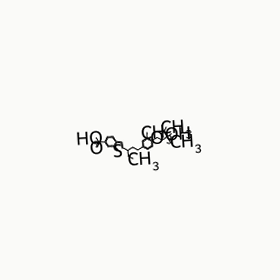 CCC(CCc1ccc(OCC(O)(CC)CC)c(C)c1)c1cc2ccc(C(=O)O)cc2s1